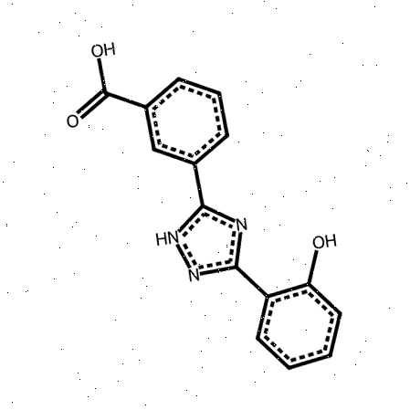 O=C(O)c1cccc(-c2nc(-c3ccccc3O)n[nH]2)c1